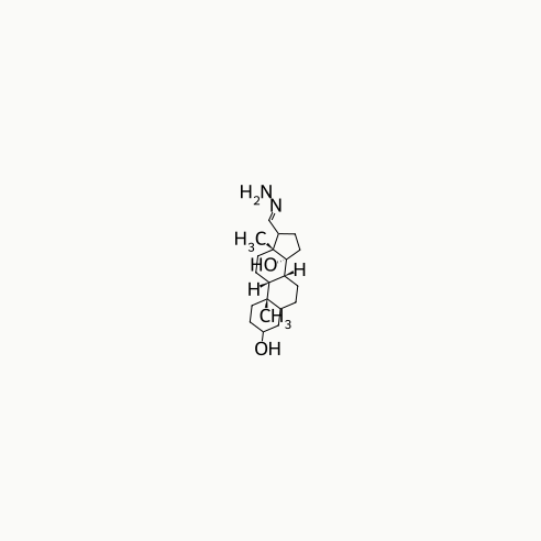 C[C@]12CCC(O)CC1CC[C@@H]1[C@H]2CC[C@]2(C)C(C=NN)CC[C@@]12O